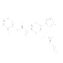 CN(C)/C=N/S(=O)(=O)c1cc(NC(=O)Cc2ccccc2Cl)ccc1-c1cn[nH]c1